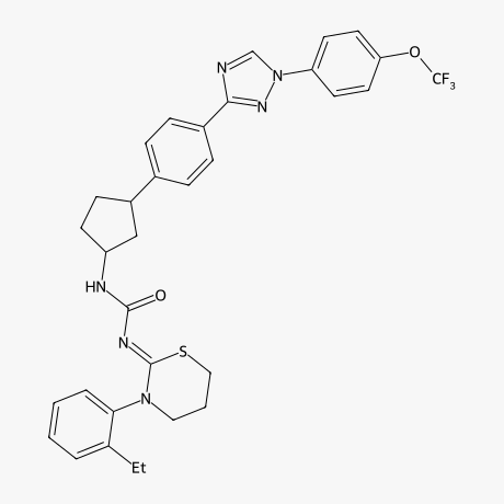 CCc1ccccc1N1CCCS/C1=N\C(=O)NC1CCC(c2ccc(-c3ncn(-c4ccc(OC(F)(F)F)cc4)n3)cc2)C1